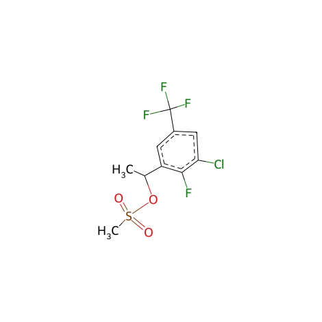 CC(OS(C)(=O)=O)c1cc(C(F)(F)F)cc(Cl)c1F